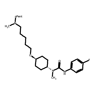 CCCCCN(C)CCCCCO[C@H]1CC[C@H](N(C)C(=O)Nc2ccc(F)cc2)CC1